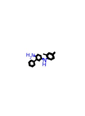 Cc1ccc(Nc2ccc(N)c(-c3ccccc3)c2)c(C)c1